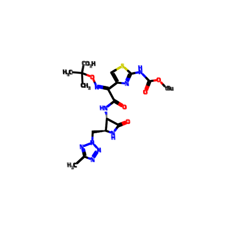 Cc1nnn(C[C@@H]2NC(=O)[C@H]2NC(=O)C(=NOC(C)(C)C(=O)O)c2csc(NC(=O)OC(C)(C)C)n2)n1